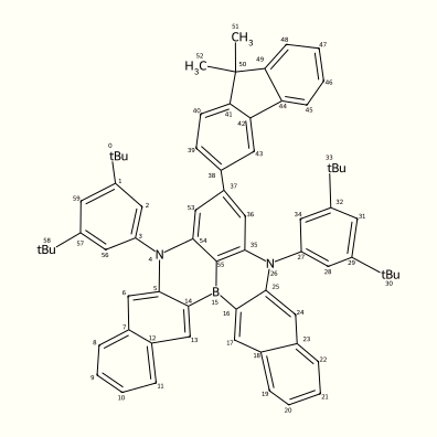 CC(C)(C)c1cc(N2c3cc4ccccc4cc3B3c4cc5ccccc5cc4N(c4cc(C(C)(C)C)cc(C(C)(C)C)c4)c4cc(-c5ccc6c(c5)-c5ccccc5C6(C)C)cc2c43)cc(C(C)(C)C)c1